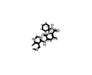 C/N=C\c1c(C)ncnc1Nc1cc(C)c2n(c1=O)C1(CCCCC1)NC2=O